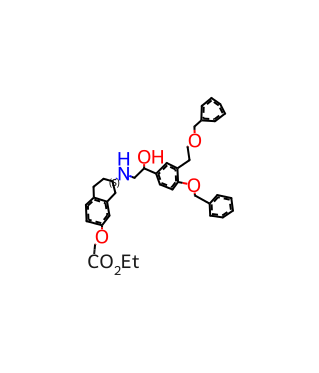 CCOC(=O)COc1ccc2c(c1)C[C@@H](NCC(O)c1ccc(OCc3ccccc3)c(CCOCc3ccccc3)c1)CC2